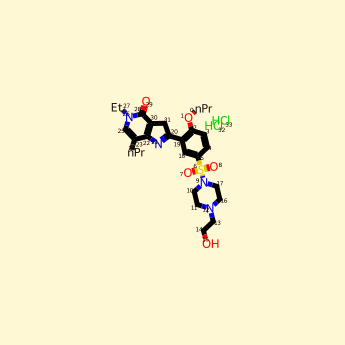 CCCOc1ccc(S(=O)(=O)N2CCN(CCO)CC2)cc1C1=Nc2c(CCC)cn(CC)c(=O)c2C1.Cl.Cl